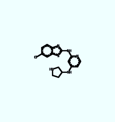 Clc1ccc2nc(Nc3cc(NC4CCNC4)ccn3)sc2c1